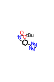 CN(Cc1ccc(-c2nncnn2)cc1)C(=O)OC(C)(C)C